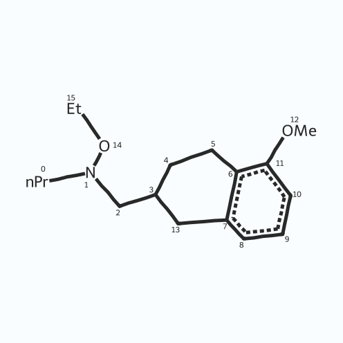 CCCN(CC1CCc2c(cccc2OC)C1)OCC